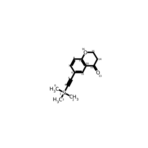 C[Si](C)(C)C#Cc1ccc2c(c1)C(=O)CCO2